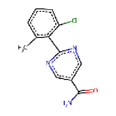 NC(=O)c1cnc(-c2c(Cl)cccc2C(F)(F)F)nc1